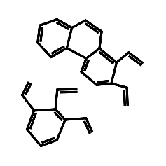 C=Cc1ccc2c(ccc3ccccc32)c1C=C.C=Cc1cccc(C=C)c1C=C